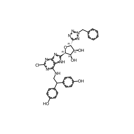 Oc1ccc(C(CNc2nc(Cl)nc3nc([C@H]4O[C@H](c5nnn(Cc6ccccc6)n5)[C@@H](O)[C@H]4O)[nH]c23)c2ccc(O)cc2)cc1